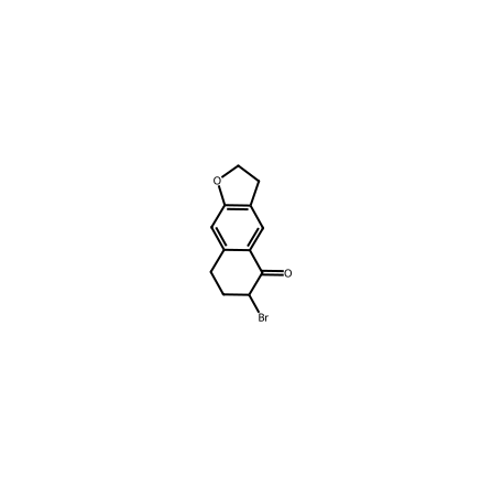 O=C1c2cc3c(cc2CCC1Br)OCC3